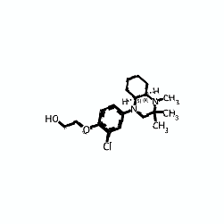 CN1[C@@H]2CCCC[C@@H]2N(c2ccc(OCCO)c(Cl)c2)CC1(C)C